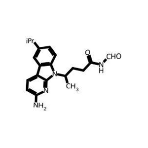 CC(C)c1ccc2c(c1)c1ccc(N)nc1n2C(C)CCC(=O)NC=O